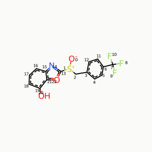 [O-][S+](Cc1ccc(C(F)(F)F)cc1)c1nc2cccc(O)c2o1